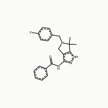 CC1(C)c2[nH]nc(NC(=O)c3ccccc3)c2CN1Cc1ccc(F)cc1